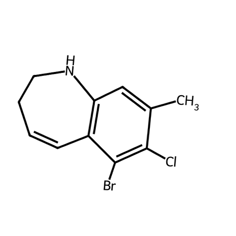 Cc1cc2c(c(Br)c1Cl)C=CCCN2